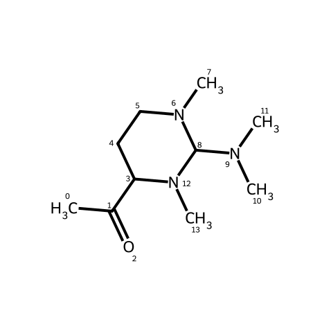 CC(=O)C1CCN(C)C(N(C)C)N1C